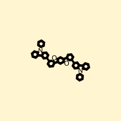 c1ccc(-n2c3ccccc3c3cc(-c4cccc5c4oc4cc6c(cc45)oc4c(-c5ccc7c(c5)c5ccccc5n7-c5ccccc5)cccc46)ccc32)cc1